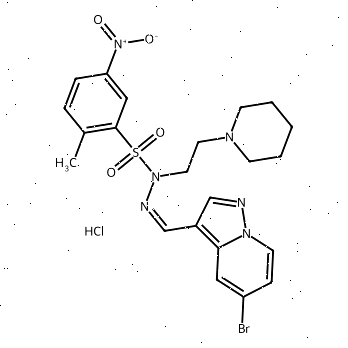 Cc1ccc([N+](=O)[O-])cc1S(=O)(=O)N(CCN1CCCCC1)/N=C\c1cnn2ccc(Br)cc12.Cl